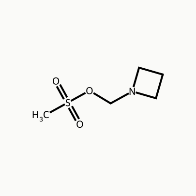 CS(=O)(=O)OCN1CCC1